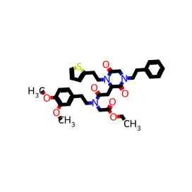 CCOC(=O)CN(CCc1ccc(OC)c(OC)c1)C(=O)CC1C(=O)N(CCc2ccccc2)CC(=O)N1CCc1cccs1